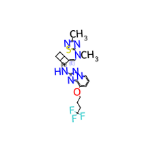 Cc1nsc(N(C)/C=C2\C3CCC3[C@H]2Nc2nc3c(OCCCC(F)(F)F)cccn3n2)n1